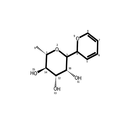 C[C@@H]1OC(C2C=CC=CO2)[C@H](O)[C@H](O)[C@H]1O